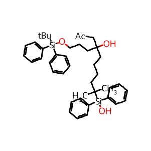 CC(=O)CC(O)(CCCCC(C)(C)[Si](O)(c1ccccc1)c1ccccc1)CCCO[Si](c1ccccc1)(c1ccccc1)C(C)(C)C